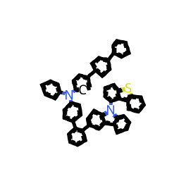 c1ccc(-c2ccc(-c3ccc(N(c4ccccc4)c4ccc(-c5ccccc5-c5ccc6c(c5)c5ccccc5n6-c5cccc6sc7ccccc7c56)cc4)cc3)cc2)cc1